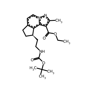 CCOC(=O)c1c(C)nn2ccc3c(c12)[C@@H](CCNC(=O)OC(C)(C)C)CC3